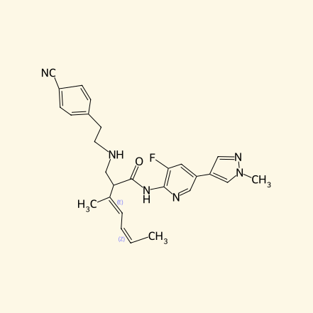 C/C=C\C=C(/C)C(CNCCc1ccc(C#N)cc1)C(=O)Nc1ncc(-c2cnn(C)c2)cc1F